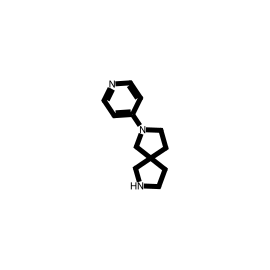 c1cc(N2CCC3(CCNC3)C2)ccn1